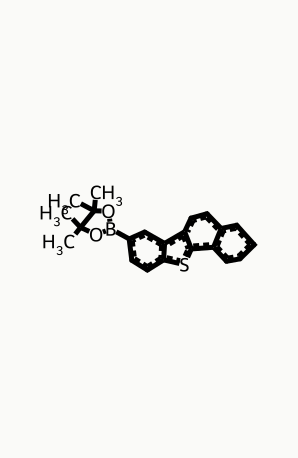 CC1(C)OB(c2ccc3sc4c5ccccc5ccc4c3c2)OC1(C)C